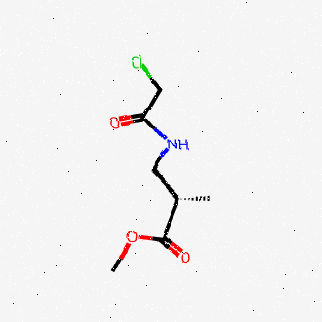 COC(=O)[C@@H](C)CNC(=O)CCl